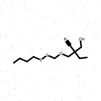 CCCCSSCOCC(C#N)(CC)CO